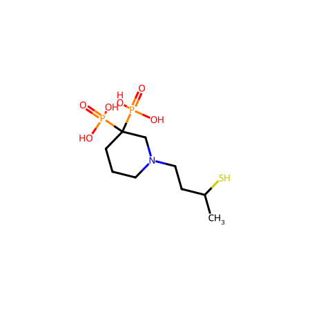 CC(S)CCN1CCCC(P(=O)(O)O)(P(=O)(O)O)C1